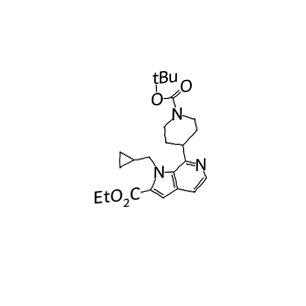 CCOC(=O)c1cc2ccnc(C3CCN(C(=O)OC(C)(C)C)CC3)c2n1CC1CC1